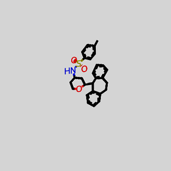 Cc1ccc(S(=O)(=O)NC2CCOC(C3c4ccccc4CCc4ccccc43)C2)cc1